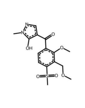 COCc1c(S(C)(=O)=O)ccc(C(=O)c2cnn(C)c2O)c1OC